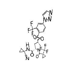 N#CC1(NC(=O)[C@@H]2C[C@@H](S(=O)(=O)c3ccc(-n4ccnn4)cc3C(F)(F)F)CN2C(=O)C2(C(F)(F)F)CC2)CC1